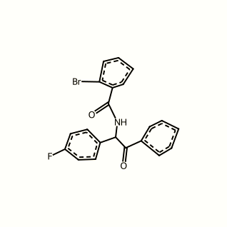 O=C(NC(C(=O)c1ccccc1)c1ccc(F)cc1)c1ccccc1Br